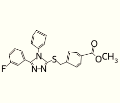 COC(=O)c1ccc(CSc2nnc(-c3cccc(F)c3)n2-c2ccccc2)cc1